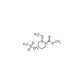 COC(=O)[C@H]1CC[C@@H](OS(C)(=O)=O)C[C@H]1OC